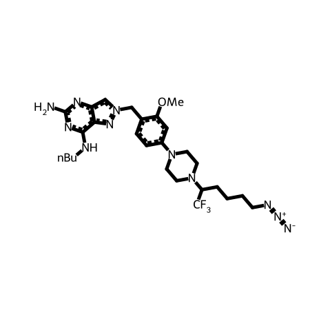 CCCCNc1nc(N)nc2cn(Cc3ccc(N4CCN(C(CCCCN=[N+]=[N-])C(F)(F)F)CC4)cc3OC)nc12